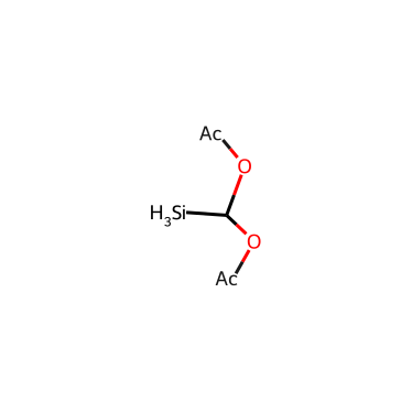 CC(=O)OC([SiH3])OC(C)=O